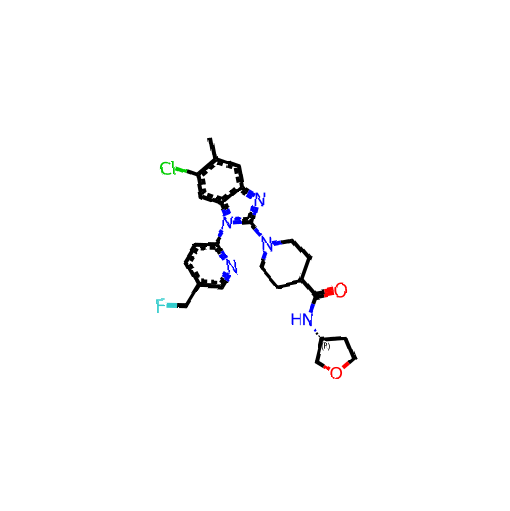 Cc1cc2nc(N3CCC(C(=O)N[C@@H]4CCOC4)CC3)n(-c3ccc(CF)cn3)c2cc1Cl